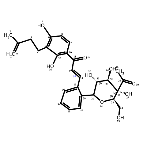 C=C(C)CCc1c(O)ccc(C(=O)/C=C/c2ccccc2C2O[C@H](CO)[C@](O)(C(C)=O)[C@H](O)[C@H]2O)c1O